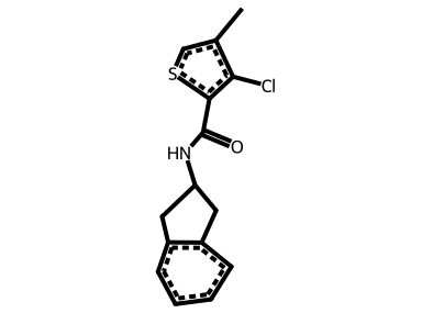 Cc1csc(C(=O)NC2Cc3ccccc3C2)c1Cl